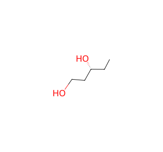 CC[C@@H](O)CCO